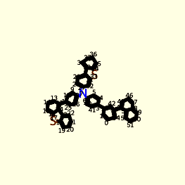 c1cc(-c2ccc(N(c3ccc(-c4cccc5sc6ccccc6c45)cc3)c3ccc4c(c3)sc3ccccc34)cc2)cc(-c2cccc3ccccc23)c1